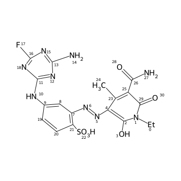 CCn1c(O)c(N=Nc2cc(Nc3nc(N)nc(F)n3)ccc2S(=O)(=O)O)c(C)c(C(N)=O)c1=O